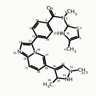 CC1=CSC(N(C)C(=O)c2ccc(-c3cnc4ccc(C5=CN(C)NC5C)cn34)cc2)N1